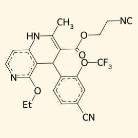 [C-]#[N+]CCOC(=O)C1=C(C)Nc2ccnc(OCC)c2C1c1ccc(C#N)cc1OC(F)(F)F